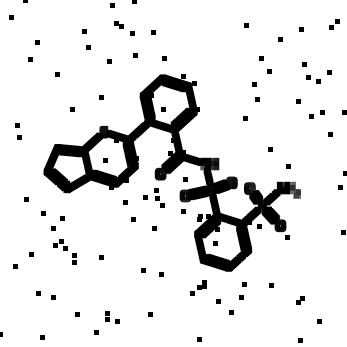 NS(=O)(=O)c1ccccc1S(=O)(=O)NC(=O)c1ccccc1-c1ccc2cccc-2s1